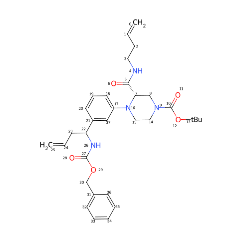 C=CCCNC(=O)[C@@H]1CN(C(=O)OC(C)(C)C)CCN1c1cccc(C(CC=C)NC(=O)OCc2ccccc2)c1